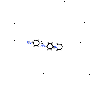 N[C@H]1CC[C@H](CNc2ccc(N3CCCCC3)cc2)CC1